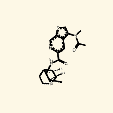 CC(=O)N(C)c1csc2cnc(C(=O)N[C@@H]3C4CCN(CC4)[C@H]3C)cc12